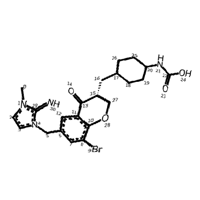 Cn1ccn(Cc2cc(Br)c3c(c2)C(=O)[C@H](CC2CCC(NC(=O)O)CC2)CO3)c1=N